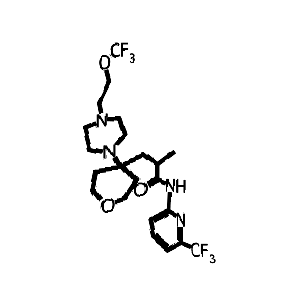 CC(CC1(N2CCN(CCOC(F)(F)F)CC2)CCOCC1)C(=O)Nc1cccc(C(F)(F)F)n1